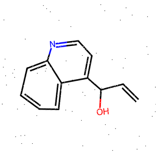 C=CC(O)c1ccnc2ccccc12